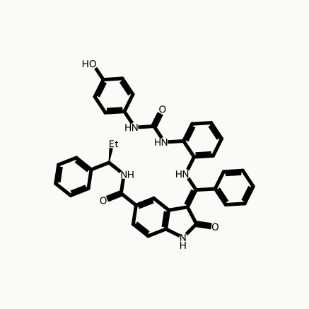 CC[C@@H](NC(=O)c1ccc2c(c1)C(=C(Nc1ccccc1NC(=O)Nc1ccc(O)cc1)c1ccccc1)C(=O)N2)c1ccccc1